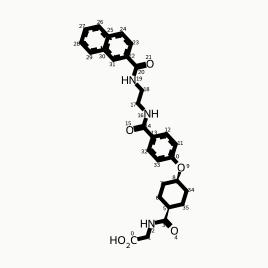 O=C(O)CNC(=O)[C@H]1CC[C@@H](Oc2ccc(C(=O)NCCNC(=O)c3ccc4ccccc4c3)cc2)CC1